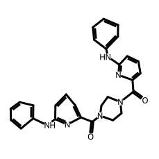 O=C(c1cccc(Nc2ccccc2)n1)N1CCN(C(=O)c2cccc(Nc3ccccc3)n2)CC1